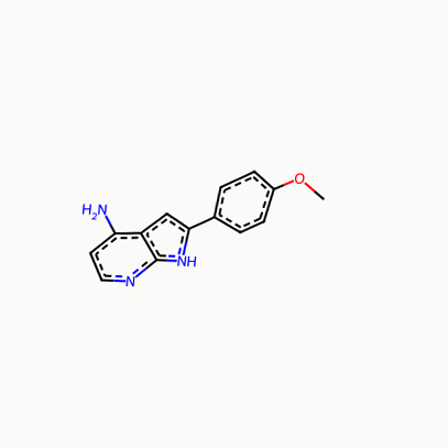 COc1ccc(-c2cc3c(N)ccnc3[nH]2)cc1